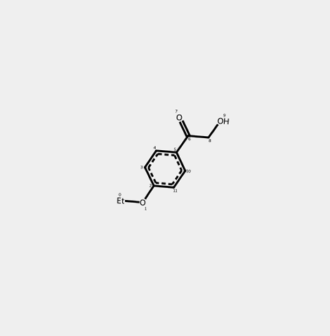 CCOc1ccc(C(=O)CO)cc1